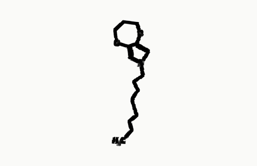 CCCCCCCCn1cc2c(c1)OCCCO2